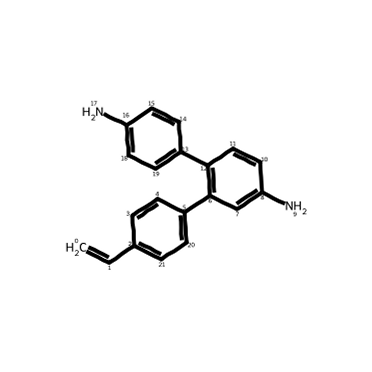 C=Cc1ccc(-c2cc(N)ccc2-c2ccc(N)cc2)cc1